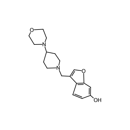 Oc1ccc2c(CN3CCC(N4CCOCC4)CC3)coc2c1